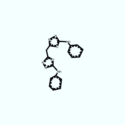 c1ccc(Nc2nnc(Cc3nnc(Nc4ccccc4)o3)o2)cc1